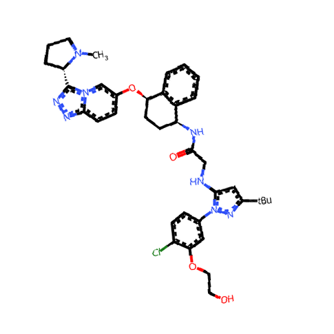 CN1CCC[C@H]1c1nnc2ccc(O[C@@H]3CC[C@H](NC(=O)CNc4cc(C(C)(C)C)nn4-c4ccc(Cl)c(OCCO)c4)c4ccccc43)cn12